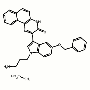 CC(=O)O.NCCCn1cc(-c2nc3c(ccc4ccccc43)[nH]c2=O)c2cc(OCc3ccccc3)ccc21